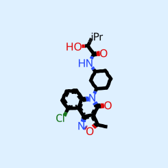 Cc1onc2c1c(=O)n(C1CCCC(NC(=O)C(O)C(C)C)C1)c1cccc(Cl)c21